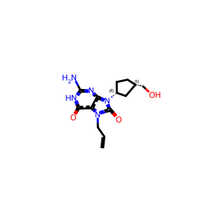 C=CCn1c(=O)n([C@@H]2CC[C@H](CO)C2)c2nc(N)[nH]c(=O)c21